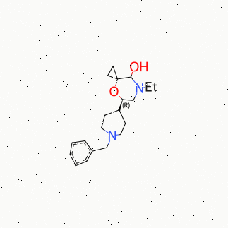 CCN1C[C@@H](C2CCN(Cc3ccccc3)CC2)OC2(CC2)C1O